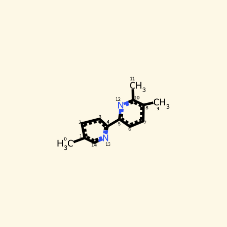 Cc1ccc(-c2ccc(C)c(C)n2)nc1